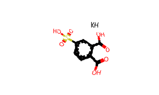 O=C(O)c1ccc(S(=O)(=O)O)cc1C(=O)O.[KH]